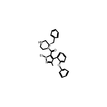 CCn1nc(C)c(-c2ccccc2Oc2ccccc2)c1C(=O)N1CCNC[C@H]1Cc1ccccc1